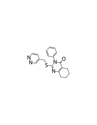 O=c1c2c(nc(SCc3ccnnc3)n1-c1ccccc1)CCCC2